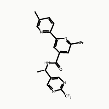 Cc1ccc(-c2cc(C(=O)N[C@H](C)c3cnc(C(F)(F)F)nc3)cc(C(C)C)n2)nc1